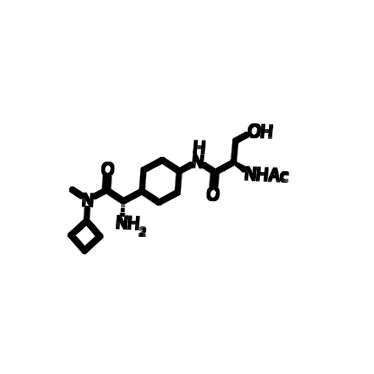 CC(=O)N[C@H](CO)C(=O)NC1CCC([C@H](N)C(=O)N(C)C2CCC2)CC1